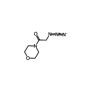 [N-]=[N+]=NCC(=O)N1CCOCC1